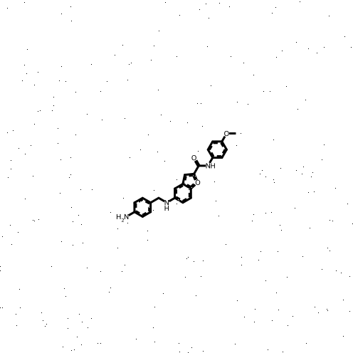 COc1ccc(NC(=O)c2cc3cc(NCc4ccc(N)cc4)ccc3o2)cc1